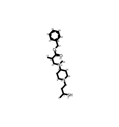 CC(S)CCN1CCC(N(C)CC(C)C(=O)OCc2ccccc2)CC1